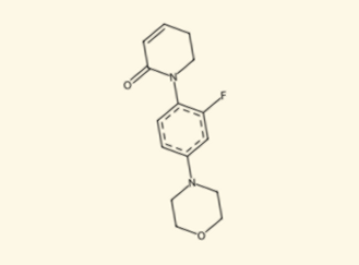 O=C1C=CCCN1c1ccc(N2CCOCC2)cc1F